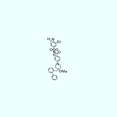 CCc1cc(S(=O)(=O)NC(=O)c2ccc(N3CCC(Cc4ccccc4-c4ccccc4)(OC)CC3)cc2)ccc1N